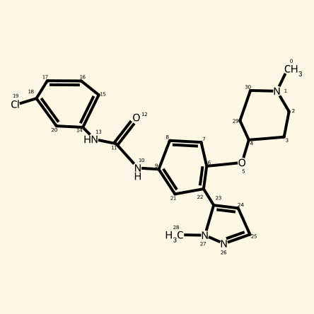 CN1CCC(Oc2ccc(NC(=O)Nc3cccc(Cl)c3)cc2-c2ccnn2C)CC1